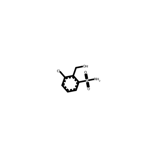 NS(=O)(=O)c1cccc(Cl)c1CO